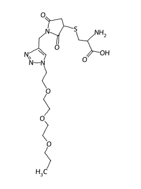 CCCOCCOCCOCCn1cc(CN2C(=O)CC(SCC(N)C(=O)O)C2=O)nn1